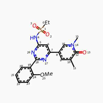 CCS(=O)(=O)Nc1cc(-c2cc(C)c(=O)n(C)c2)nc(-c2ccccc2OC)n1